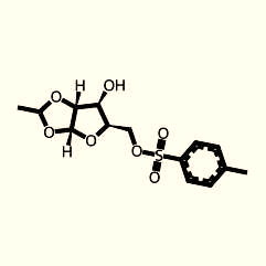 Cc1ccc(S(=O)(=O)OC[C@H]2O[C@@H]3OC(C)O[C@@H]3[C@H]2O)cc1